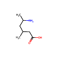 CC(N)CC(C)CC(=O)O